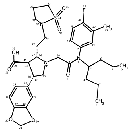 CCCC(CCC)N(C(=O)CN1C[C@H](c2ccc3c(c2)OCO3)[C@@H](C(=O)O)[C@@H]1CCN1CCCS1(=O)=O)c1ccc(F)c(C)c1